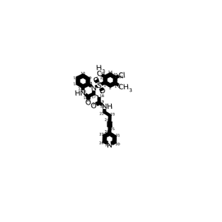 Cc1cc(S(=O)(=O)N2c3ccccc3NC(=O)[C@H]2CC(=O)NCCC#Cc2ccncc2)c(C)cc1Cl